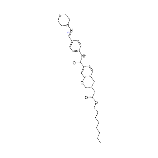 CCCCCCCCOC(=O)CC1COc2cc(C(=O)Nc3ccc(/C=N/N4CCSCC4)cc3)ccc2C1